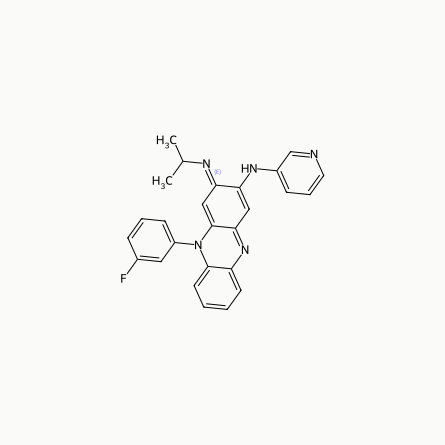 CC(C)/N=c1\cc2n(-c3cccc(F)c3)c3ccccc3nc-2cc1Nc1cccnc1